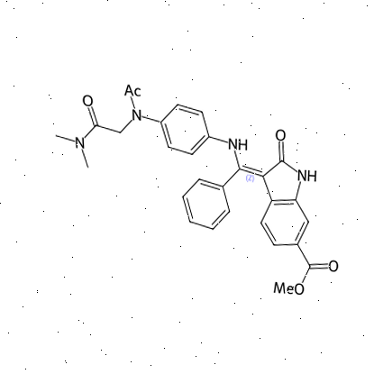 COC(=O)c1ccc2c(c1)NC(=O)/C2=C(\Nc1ccc(N(CC(=O)N(C)C)C(C)=O)cc1)c1ccccc1